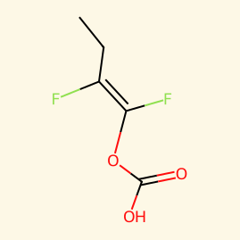 CCC(F)=C(F)OC(=O)O